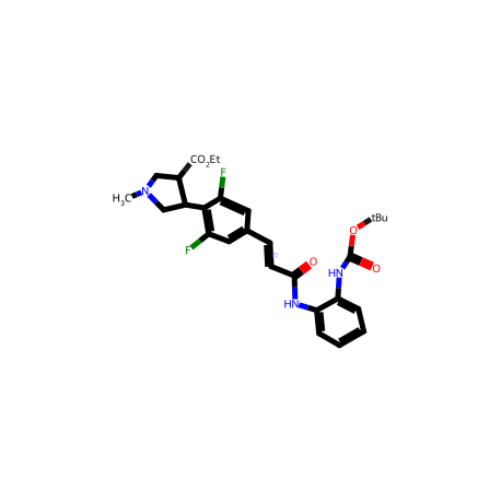 CCOC(=O)C1CN(C)CC1c1c(F)cc(/C=C/C(=O)Nc2ccccc2NC(=O)OC(C)(C)C)cc1F